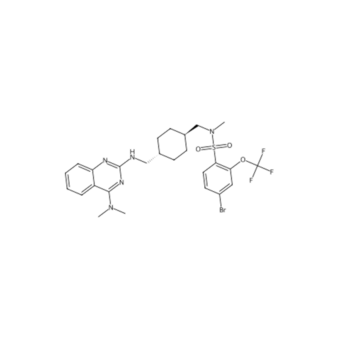 CN(C)c1nc(NC[C@H]2CC[C@H](CN(C)S(=O)(=O)c3ccc(Br)cc3OC(F)(F)F)CC2)nc2ccccc12